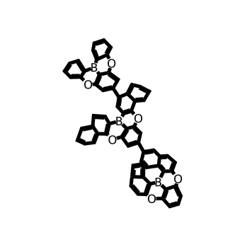 c1ccc2c(c1)Oc1cc(-c3cc4c(c5ccccc35)Oc3cc(-c5ccc6c7c(ccc6c5)Oc5cccc6c5B7c5c(ccc7ccccc57)O6)cc5c3B4c3ccc4ccccc4c3O5)cc3c1B2c1ccccc1O3